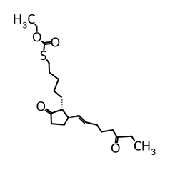 CCOC(=O)SCCCCC[C@H]1C(=O)CC[C@@H]1C=CCCCC(=O)CC